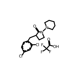 O=C(O)C(F)(F)F.O=C1C(Cc2ccc(Cl)cc2Cl)CCN1N1CCCCC1